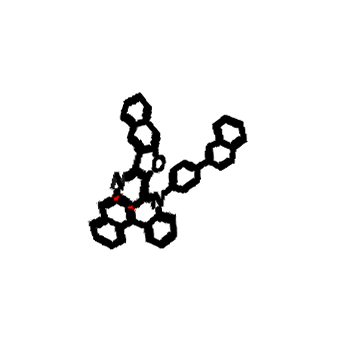 c1ccc(N(c2ccc(-c3ccc4ccccc4c3)cc2)c2ccnc3c2oc2cc4ccccc4cc23)c(-c2cccc3ccccc23)c1